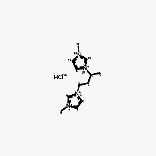 CC(CC[n+]1ccn(C)c1)[n+]1ccn(C)c1.Cl